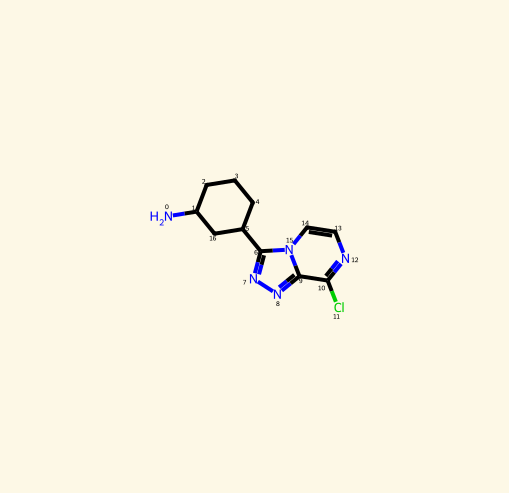 NC1CCCC(c2nnc3c(Cl)nccn23)C1